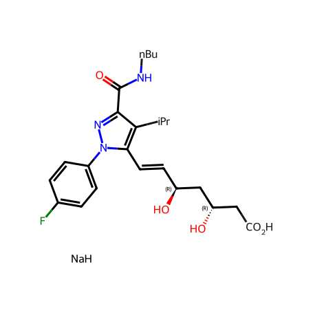 CCCCNC(=O)c1nn(-c2ccc(F)cc2)c(C=C[C@H](O)C[C@@H](O)CC(=O)O)c1C(C)C.[NaH]